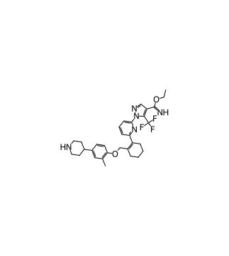 CCOC(=N)c1cnn(-c2cccc(C3=C(COc4ccc(C5CCNCC5)cc4C)CCCC3)n2)c1C(F)(F)F